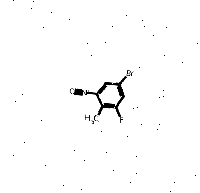 [C-]#[N+]c1cc(Br)cc(F)c1C